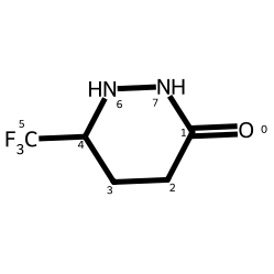 O=C1CCC(C(F)(F)F)NN1